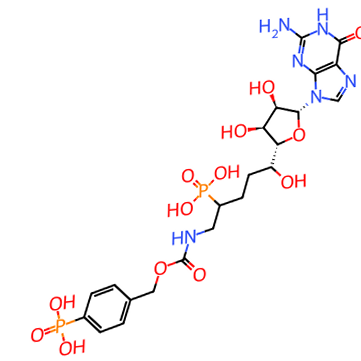 Nc1nc2c(ncn2[C@@H]2O[C@H](C(O)CCC(CNC(=O)OCc3ccc(P(=O)(O)O)cc3)P(=O)(O)O)[C@@H](O)[C@H]2O)c(=O)[nH]1